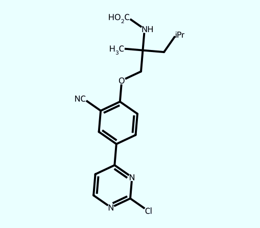 CC(C)CC(C)(COc1ccc(-c2ccnc(Cl)n2)cc1C#N)NC(=O)O